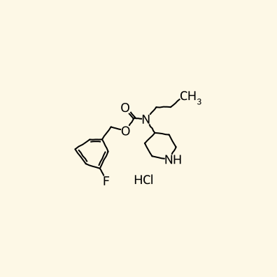 CCCN(C(=O)OCc1cccc(F)c1)C1CCNCC1.Cl